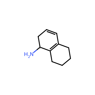 N[C]1CC=CC2=C1CCCC2